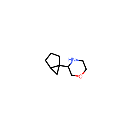 C1CC2CC2(C2COCCN2)C1